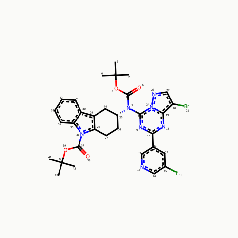 CC(C)(C)OC(=O)N(c1nc(-c2cncc(F)c2)nc2c(Br)cnn12)[C@@H]1CCc2c(c3ccccc3n2C(=O)OC(C)(C)C)C1